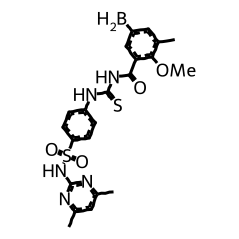 Bc1cc(C)c(OC)c(C(=O)NC(=S)Nc2ccc(S(=O)(=O)Nc3nc(C)cc(C)n3)cc2)c1